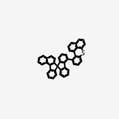 c1ccc2c(c1)-c1c(-c3cccc4c3-c3cccc5cccc(c35)S4)cccc1C21c2ccccc2-c2c1ccc1ccccc21